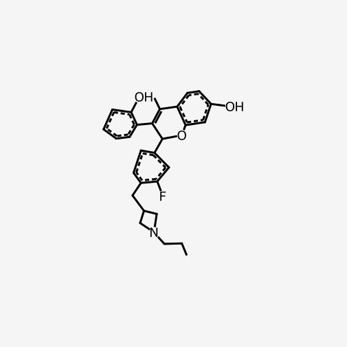 CCCN1CC(Cc2ccc(C3Oc4cc(O)ccc4C(C)=C3c3ccccc3O)cc2F)C1